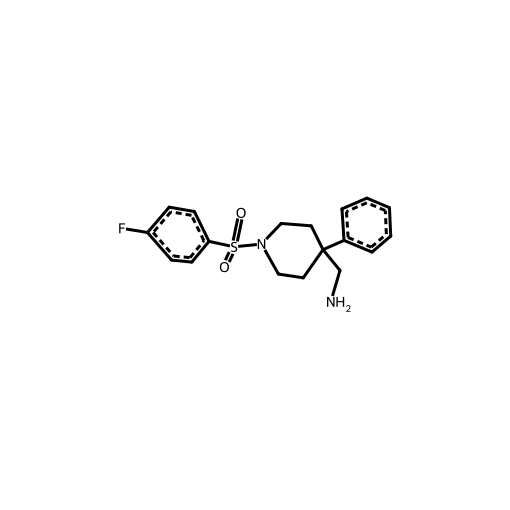 NCC1(c2ccccc2)CCN(S(=O)(=O)c2ccc(F)cc2)CC1